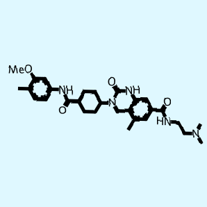 COc1cc(NC(=O)C2CCC(N3Cc4c(C)cc(C(=O)NCCN(C)C)cc4NC3=O)CC2)ccc1C